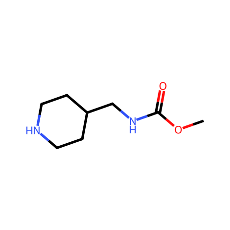 COC(=O)NCC1CCNCC1